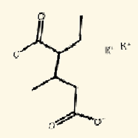 CCC(C(=O)[O-])C(C)CC(=O)[O-].[K+].[K+]